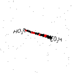 O=C(O)CCCCCCCCCCCCCCCCCCCCCCCCCCCCCC(=O)O